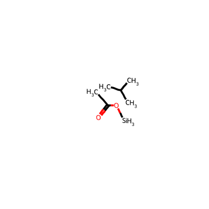 CC(=O)O[SiH3].CC(C)C